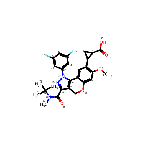 COc1cc2c(cc1C1CC1C(=O)O)-c1c(c(C(=O)N(C)C(C)(C)C)nn1-c1cc(F)cc(F)c1)CO2